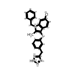 Cc1c(Sc2cccc(Cc3nn[nH]n3)c2)c2ccc(Cl)cc2n1Cc1ccccc1